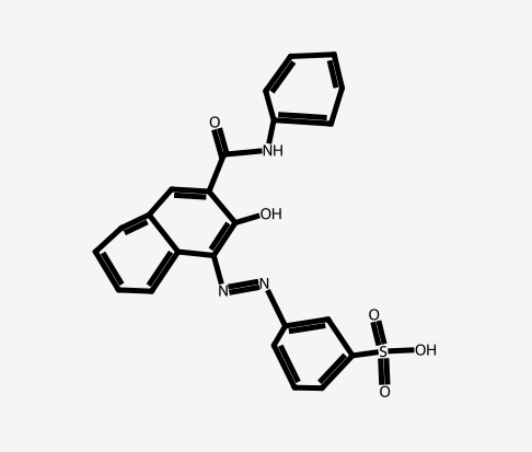 O=C(Nc1ccccc1)c1cc2ccccc2c(/N=N/c2cccc(S(=O)(=O)O)c2)c1O